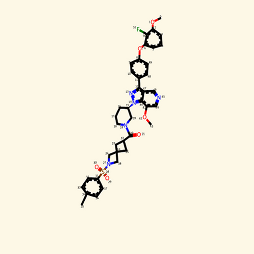 COc1cccc(Oc2ccc(-c3nn([C@@H]4CCCN(C(=O)C5CC6(C5)CN(S(=O)(=O)c5ccc(C)cc5)C6)C4)c4c(OC)cncc34)cc2)c1F